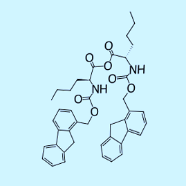 CCCC[C@H](NC(=O)OCc1cccc2c1Cc1ccccc1-2)C(=O)OC(=O)[C@H](CCCC)NC(=O)OCc1cccc2c1Cc1ccccc1-2